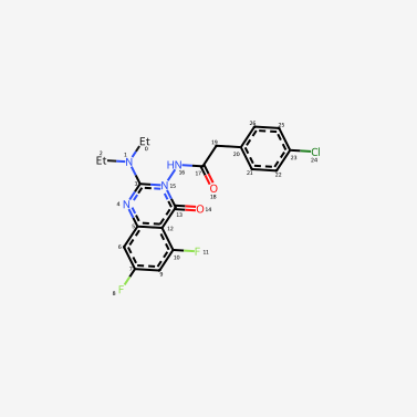 CCN(CC)c1nc2cc(F)cc(F)c2c(=O)n1NC(=O)Cc1ccc(Cl)cc1